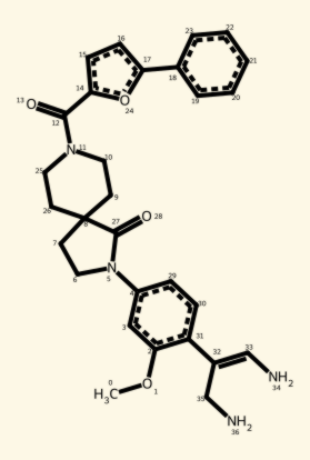 COc1cc(N2CCC3(CCN(C(=O)c4ccc(-c5ccccc5)o4)CC3)C2=O)ccc1/C(=C/N)CN